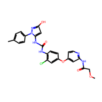 COCC(=O)Nc1cc(Oc2ccc(NC(=O)Nc3cc(O)nn3-c3ccc(C)cc3)c(Cl)c2)ccn1